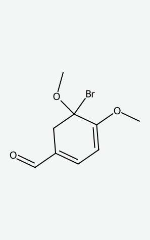 COC1=CC=C(C=O)CC1(Br)OC